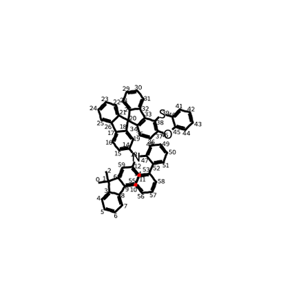 CC1(C)c2ccccc2-c2ccc(N(c3ccc4c(c3)C3(c5ccccc5-4)c4ccccc4-c4c3ccc3c4Sc4ccccc4O3)c3ccccc3-c3ccccc3)cc21